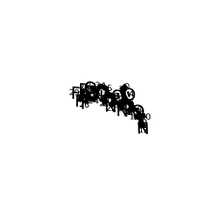 CCS(=O)(=O)c1cc(OC(C)(C)C#N)cnc1-c1cc2c(cn1)N(CC(F)(F)C(F)(F)F)C(=O)CC2